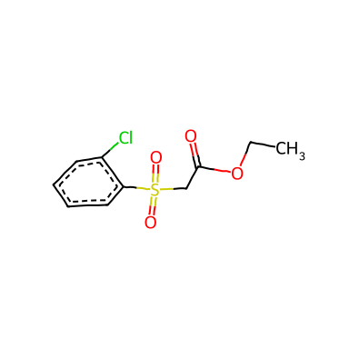 CCOC(=O)CS(=O)(=O)c1ccccc1Cl